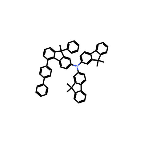 CC1(C)c2ccccc2-c2ccc(N(c3ccc4c(c3)C(C)(C)c3ccccc3-4)c3ccc4c(c3)C(C)(c3ccccc3)c3cccc(-c5ccc(-c6ccccc6)cc5)c3-4)cc21